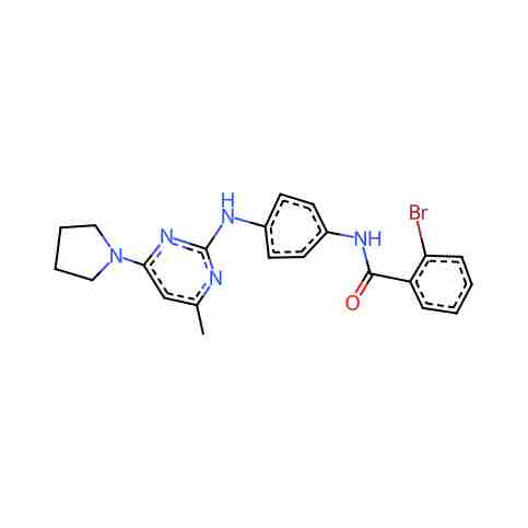 Cc1cc(N2CCCC2)nc(Nc2ccc(NC(=O)c3ccccc3Br)cc2)n1